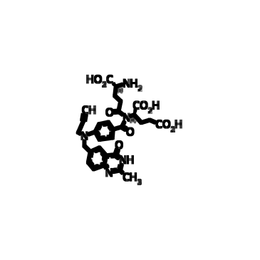 C#CCN(Cc1ccc2nc(C)[nH]c(=O)c2c1)c1ccc(C(=O)N(C(=O)CC[C@H](N)C(=O)O)[C@H](CCC(=O)O)C(=O)O)cc1